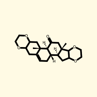 C[C@]12CC3OCCOC3CC1=CC[C@@H]1[C@@H]2C(=O)C[C@]2(C)C3OCCOC3C[C@@H]12